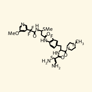 COc1cncc(C(F)(F)C(=O)NC(CC(=O)Nc2ccc(CC(NC(=O)/C(=C/N)SN)C(=O)N3CCN(C)CC3)cc2F)SC)c1